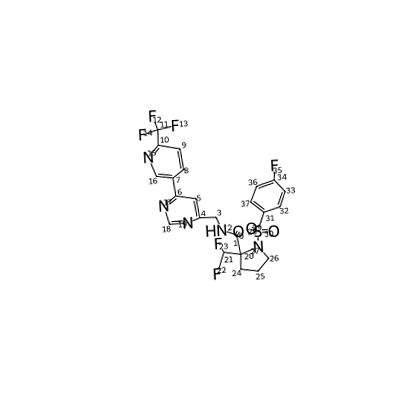 O=C(NCc1cc(-c2ccc(C(F)(F)F)nc2)ncn1)C1(C(F)F)CCCN1S(=O)(=O)c1ccc(F)cc1